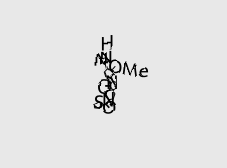 COc1cc(N2CCC3(CCN(C(=O)c4cccs4)CC3)C2=O)ccc1-c1cn[nH]c1